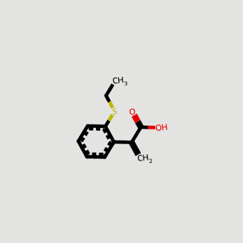 C=C(C(=O)O)c1ccccc1SCC